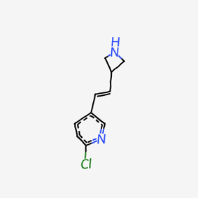 Clc1ccc(/C=C/C2CNC2)cn1